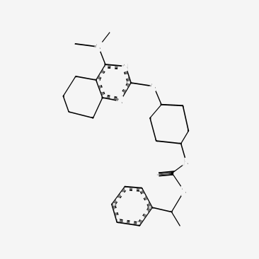 CC(NC(=O)NC1CCC(Nc2nc3c(c(N(C)C)n2)CCCC3)CC1)c1ccccc1